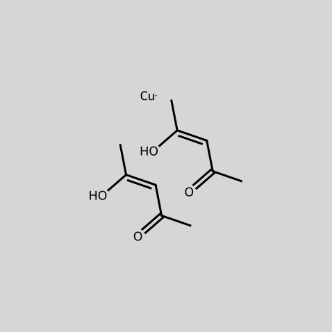 CC(=O)C=C(C)O.CC(=O)C=C(C)O.[Cu]